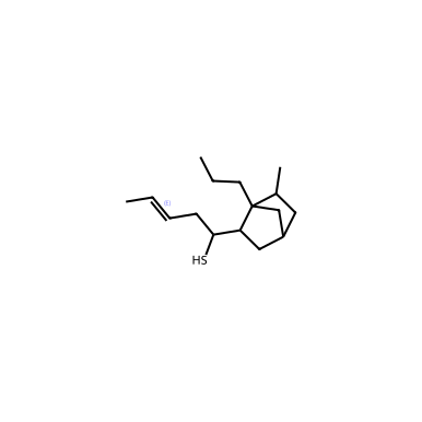 C/C=C/CC(S)C1CC2CC(C)C1(CCC)C2